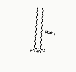 CCCCCCCCCCCCCCCCCC(=O)O.CCCCCCCCCCCCCCCCCC(=O)O.[CaH2].[KH]